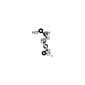 O=C(NCC(=O)N1CCN(C(=O)c2ccccc2C(F)(F)F)CC1)c1cc(-c2cccc(O)c2)[nH]n1